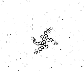 CCC(=O)Oc1ccc2cc(C3(c4ccc5cc(OC(=O)CC(F)(F)F)ccc5c4)c4ccccc4-c4cc5c(cc43)-c3ccccc3C5(c3ccc4cc(OC(=O)CC)ccc4c3)c3ccc4cc(OC(=O)CC(F)(F)F)ccc4c3)ccc2c1